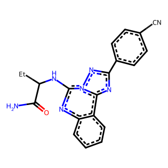 CCC(Nc1nc2ccccc2c2nc(-c3ccc(C#N)cc3)nn12)C(N)=O